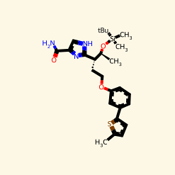 Cc1ccc(-c2cccc(OCC[C@H](c3nc(C(N)=O)c[nH]3)[C@H](C)O[Si](C)(C)C(C)(C)C)c2)s1